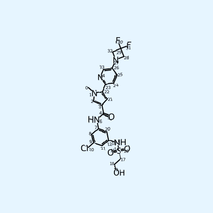 Cn1cc(C(=O)Nc2cc(Cl)cc(NS(=O)(=O)CCO)c2)cc1-c1ccc(N2CC(F)(F)C2)cn1